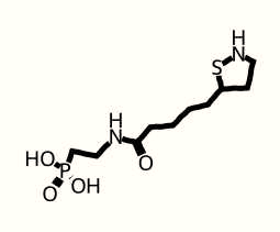 O=C(CCCCC1CCNS1)NCCP(=O)(O)O